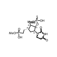 CO[C@@H]1[C@@H](CCP(=O)(O)OC)C[C@H](n2ccc(=O)[nH]c2=O)[C@@H]1OP(O)(=S)OC